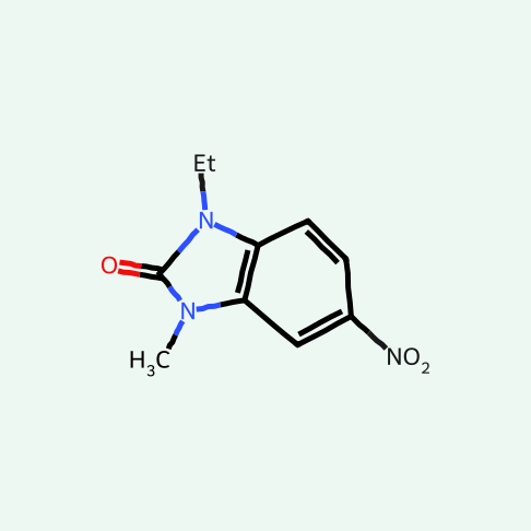 CCn1c(=O)n(C)c2cc([N+](=O)[O-])ccc21